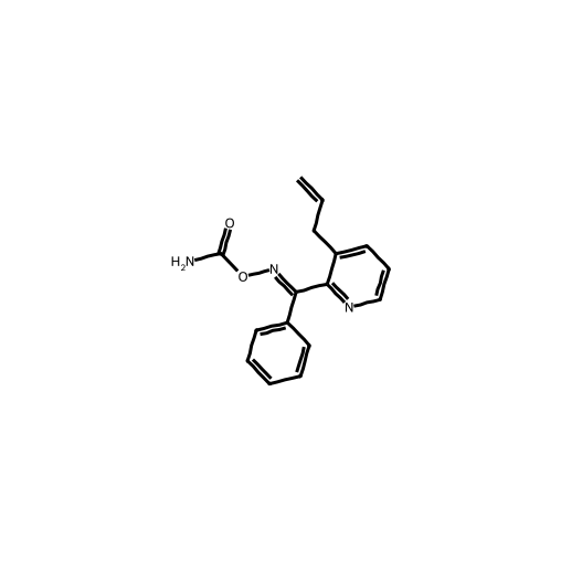 C=CCc1cccnc1C(=NOC(N)=O)c1ccccc1